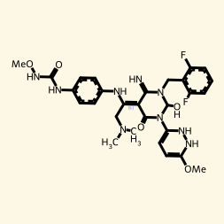 CONC(=O)Nc1ccc(N/C(CN(C)C)=C2\C(=N)N(Cc3c(F)cccc3F)C(O)N(C3=CC=C(OC)NN3)C2=O)cc1